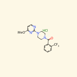 COc1ccnc(N2CCN(C(=O)c3ccccc3C(F)(F)F)CC2)n1.Cl